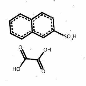 O=C(O)C(=O)O.O=S(=O)(O)c1ccc2ccccc2c1